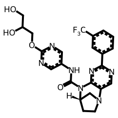 O=C(Nc1cnc(OCC(O)CO)nc1)N1c2nc(-c3cccc(C(F)(F)F)c3)ncc2N2CC[C@H]1C2